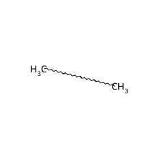 CCCCCCCC/C=C/CCCC/C=C/CCCCC/C=C/CCCCCCCC